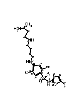 CC(N)CCNCCCCNc1cc(F)c(S(=O)(=O)Nc2ncc(F)s2)cc1Cl